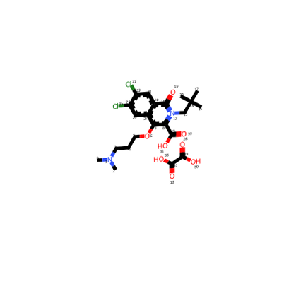 CN(C)CCCOc1c(C(=O)O)n(CC(C)(C)C)c(=O)c2cc(Cl)c(Cl)cc12.O=C(O)C(=O)O